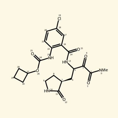 CNC(=O)C(=O)C(C[C@@H]1CCNC1=O)NC(=O)c1cc(Cl)ccc1NC(=O)OC1CCC1